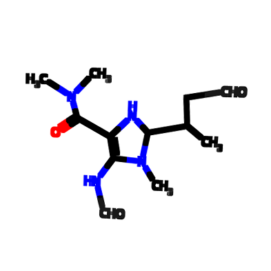 CC(CC=O)C1NC(C(=O)N(C)C)=C(NC=O)N1C